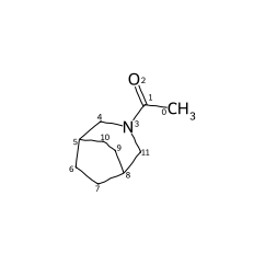 CC(=O)N1CC2CCC(CC2)C1